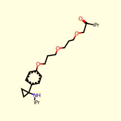 CC(C)NC1(c2ccc(OCCCOCCCOCC(=O)C(C)C)cc2)CC1